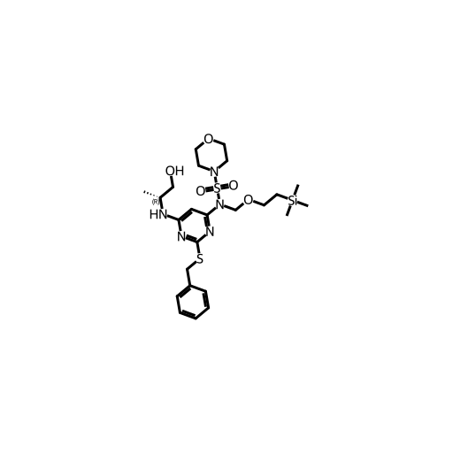 C[C@H](CO)Nc1cc(N(COCC[Si](C)(C)C)S(=O)(=O)N2CCOCC2)nc(SCc2ccccc2)n1